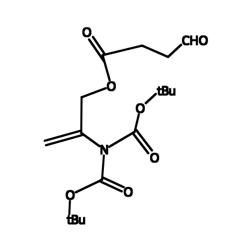 C=C(COC(=O)CCC=O)N(C(=O)OC(C)(C)C)C(=O)OC(C)(C)C